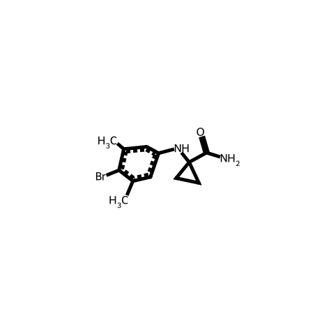 Cc1cc(NC2(C(N)=O)CC2)cc(C)c1Br